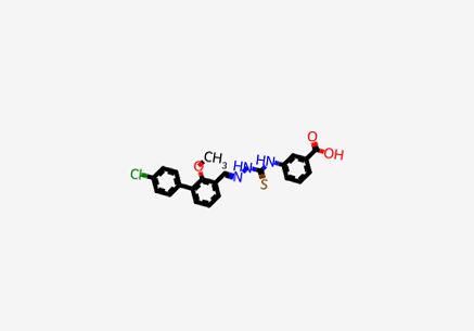 COc1c(C=NNC(=S)Nc2cccc(C(=O)O)c2)cccc1-c1ccc(Cl)cc1